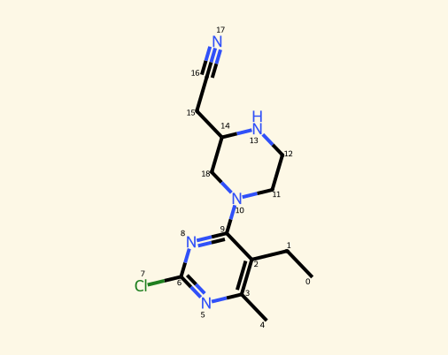 CCc1c(C)nc(Cl)nc1N1CCNC(CC#N)C1